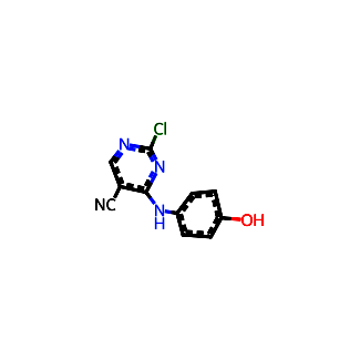 N#Cc1cnc(Cl)nc1Nc1ccc(O)cc1